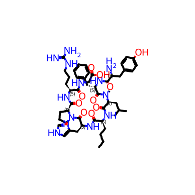 CCCC[C@H](NC(=O)[C@H](CC(C)C)N(C)C(=O)[C@H](Cc1ccccc1)NC(=O)[C@@H](N)Cc1ccc(O)cc1)C(=O)N[C@@H](Cc1c[nH]cn1)C(=O)N1CCC[C@H]1C(=O)N[C@@H](CCCNC(=N)N)C(=O)NCC(=O)O